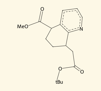 COC(=O)C1CCC(CC(=O)OC(C)(C)C)c2ncccc21